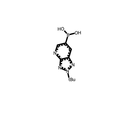 CC(C)(C)n1nc2cc(B(O)O)cnc2n1